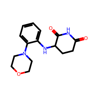 O=C1CCC(Nc2ccccc2N2CCOCC2)C(=O)N1